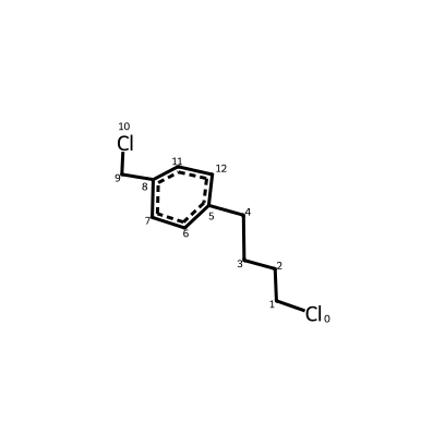 ClCCCCc1ccc(CCl)cc1